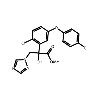 COC(=O)C(O)(Cn1cncn1)c1cc(Oc2ccc(Cl)cc2)ccc1Cl